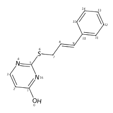 Oc1ccnc(SC/C=C/c2ccccc2)n1